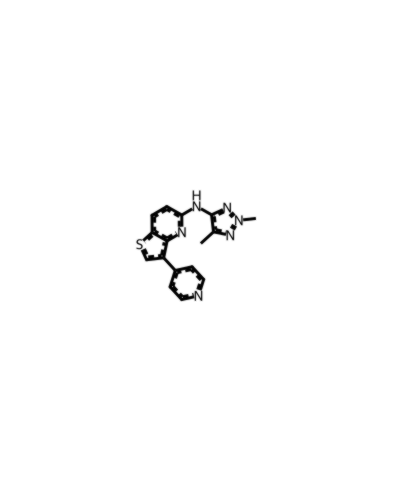 Cc1nn(C)nc1Nc1ccc2scc(-c3ccncc3)c2n1